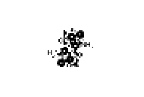 CCCN1C(=O)CN=C(c2cccc(C(N)=O)c2)c2c1cc(OC)c(-c1ccccc1)c2OC.COc1cc2c(c(OC)c1-c1ccccc1)C(c1cccc(C(N)=O)c1)=NCC(=O)N2CC1CC1